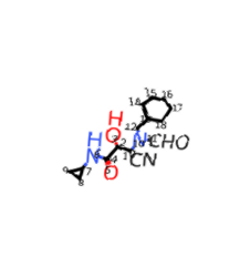 N#CC(C(O)C(=O)NC1CC1)N(C=O)CC1CCCCC1